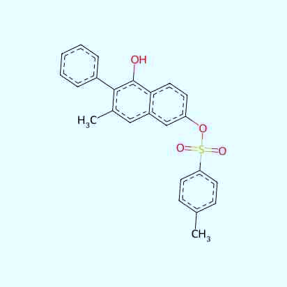 Cc1ccc(S(=O)(=O)Oc2ccc3c(O)c(-c4ccccc4)c(C)cc3c2)cc1